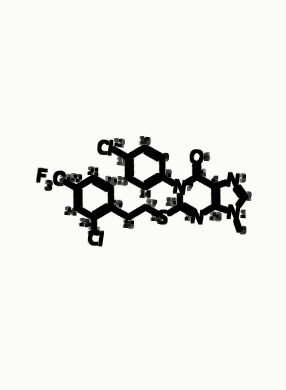 Cn1cnc2c(=O)n(-c3ccc(Cl)cc3)c(SCCc3ccc(C(F)(F)F)cc3Cl)nc21